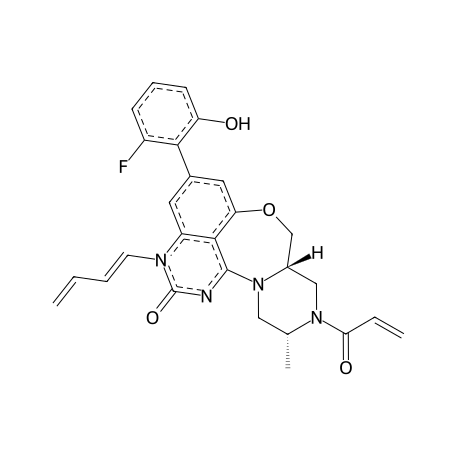 C=C/C=C/n1c(=O)nc2c3c(cc(-c4c(O)cccc4F)cc31)OC[C@@H]1CN(C(=O)C=C)[C@H](C)CN21